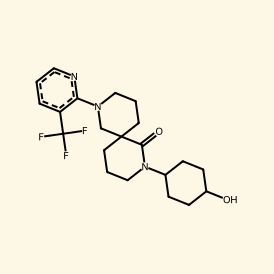 O=C1N(C2CCC(O)CC2)CCCC12CCCN(c1ncccc1C(F)(F)F)C2